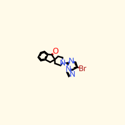 O=C1c2ccccc2CC12CCN(c1ncc(Br)c3nccn13)CC2